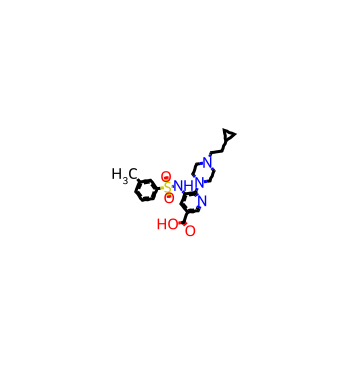 Cc1cccc(S(=O)(=O)Nc2cc(C(=O)O)cnc2N2CCN(CCC3CC3)CC2)c1